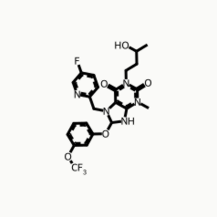 CC(O)CCn1c(=O)c2c(n(C)c1=O)NC(Oc1cccc(OC(F)(F)F)c1)N2Cc1ccc(F)cn1